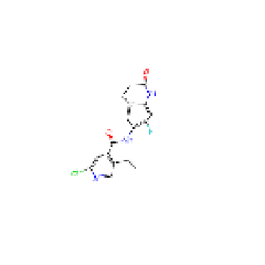 CCc1cnc(Cl)cc1C(=O)Nc1cc2c(cc1F)NC(=O)CC2